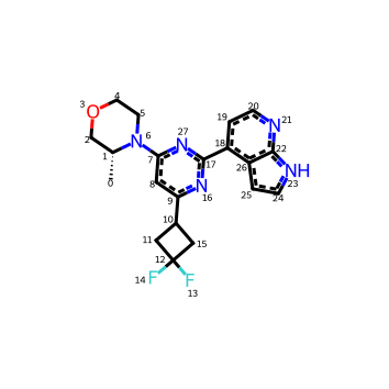 C[C@@H]1COCCN1c1cc(C2CC(F)(F)C2)nc(-c2ccnc3[nH]ccc23)n1